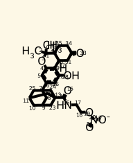 CC1(C)Oc2cc(C34CC5CC(CC(C(=O)NCCO[N+](=O)[O-])(C5)C3)C4)cc(O)c2[C@@H]2CC(=O)CC[C@H]21